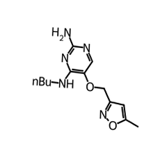 CCCCNc1nc(N)ncc1OCc1cc(C)on1